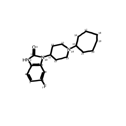 O=c1[nH]c2ccc(F)cc2n1C1CCN(C2CCCCCC2)CC1